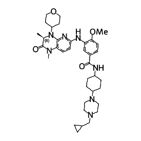 COc1ccc(C(=O)NC2CCC(N3CCN(CC4CC4)CC3)CC2)cc1Nc1ccc2c(n1)N(C1CCOCC1)[C@H](C)C(=O)N2C